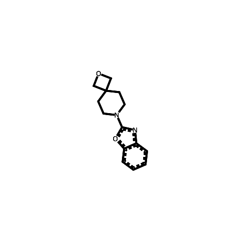 c1ccc2oc(N3CCC4(CC3)COC4)nc2c1